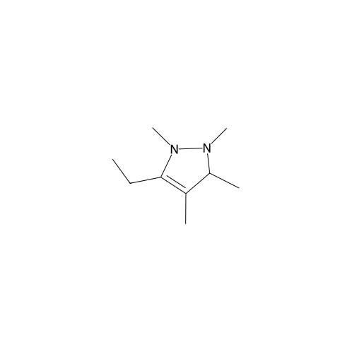 CCC1=C(C)C(C)N(C)N1C